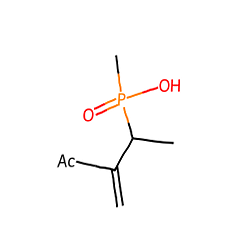 C=C(C(C)=O)C(C)P(C)(=O)O